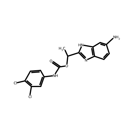 CC(OC(=O)Nc1ccc(Cl)c(Cl)c1)c1nc2ccc(N)cc2[nH]1